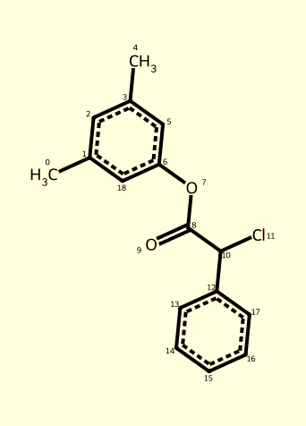 Cc1cc(C)cc(OC(=O)C(Cl)c2ccccc2)c1